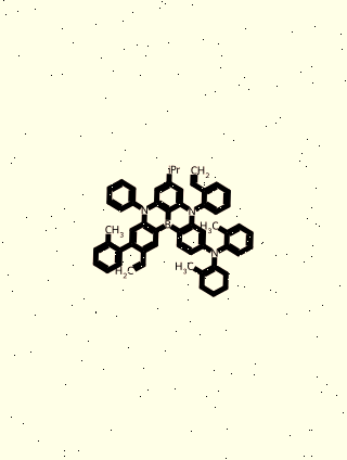 C=Cc1cc2c(cc1-c1ccccc1C)N(c1ccccc1)c1cc(C(C)C)cc3c1B2c1ccc(N(C2=C(C)CCCC2)c2ccccc2C)cc1N3c1ccccc1C=C